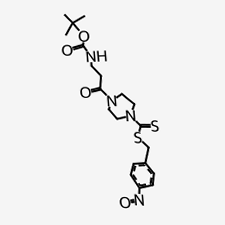 CC(C)(C)OC(=O)NCCC(=O)N1CCN(C(=S)SCc2ccc(N=O)cc2)CC1